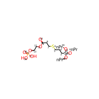 CCCO[Si](CCCSCCC(=O)OCCOP(=O)(O)O)(OCCC)OCCC